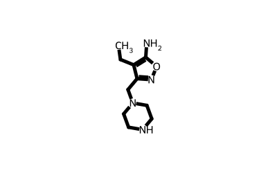 CCc1c(CN2CCNCC2)noc1N